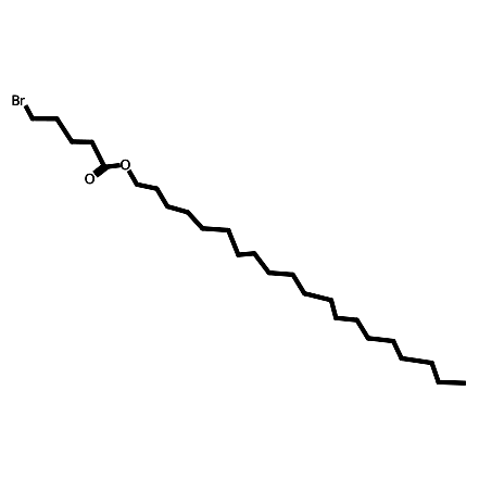 CCCCCCCCCCCCCCCCCCCCOC(=O)CCCCBr